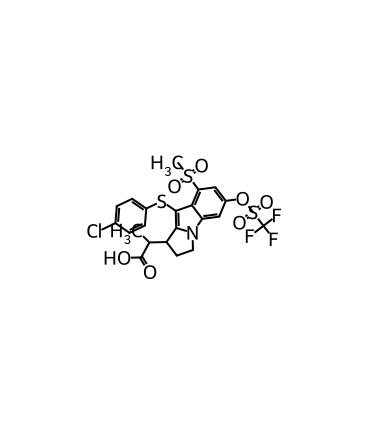 CC(C(=O)O)C1CCn2c1c(Sc1ccc(Cl)cc1)c1c(S(C)(=O)=O)cc(OS(=O)(=O)C(F)(F)F)cc12